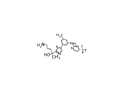 Cc1cc(Nc2nccc(C(F)(F)F)n2)cc(-c2cnc(C(C)(O)CCCN)s2)c1